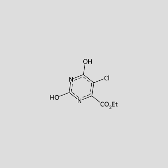 CCOC(=O)c1nc(O)nc(O)c1Cl